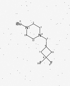 CCC(C)N1CCN(CC2CC(F)(F)C2)CC1